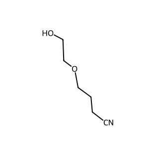 N#CCCCOCCO